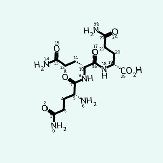 NC(=O)CC[C@@H](N)C(=O)N[C@H](CCC(N)=O)C(=O)N[C@H](CCC(N)=O)C(=O)O